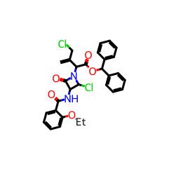 C=C(CCl)C(C(=O)OC(c1ccccc1)c1ccccc1)N1C(=O)C(NC(=O)c2ccccc2OCC)C1Cl